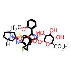 O=C(O[C@@H]1O[C@H](C(=O)O)[C@@H](O)[C@H](O)[C@H]1O)c1cc(F)c2nc(N3[C@@H]4CC[C@H]3C[C@@H](OCc3c(-c5ccccc5OC(F)(F)F)noc3C3CC3)C4)sc2c1